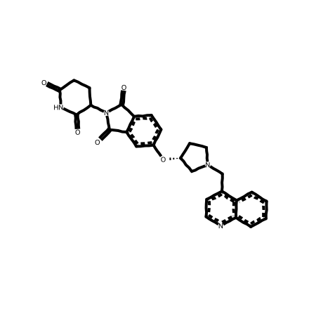 O=C1CCC(N2C(=O)c3ccc(O[C@@H]4CCN(Cc5ccnc6ccccc56)C4)cc3C2=O)C(=O)N1